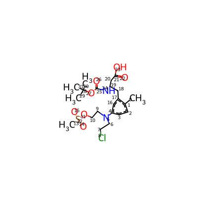 Cc1ccc(N(CCCl)CCOS(C)(=O)=O)cc1CC(CC(=O)O)NC(=O)OC(C)(C)C